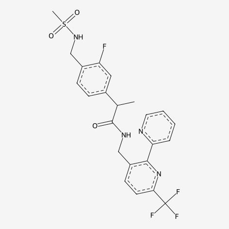 CC(C(=O)NCc1ccc(C(F)(F)F)nc1-c1ccccn1)c1ccc(CNS(C)(=O)=O)c(F)c1